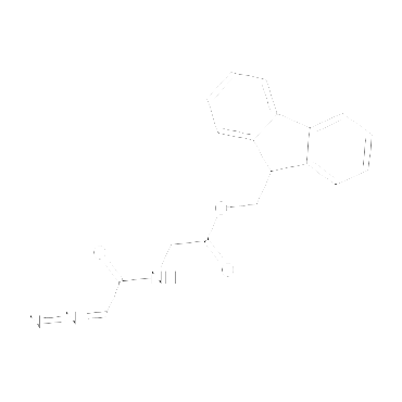 [N-]=[N+]=CC(=O)NCC(=O)OCC1c2ccccc2-c2ccccc21